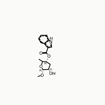 CO[C@@H]1OC(C)[C@H](OC(=O)c2c[nH]c3ccccc23)C[C@@H]1O